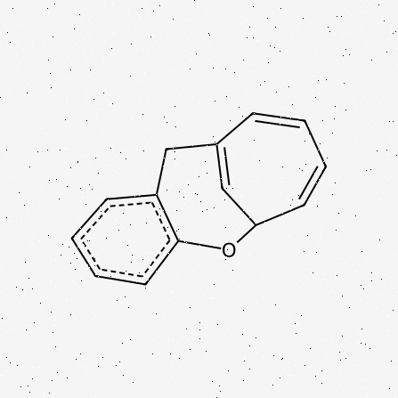 C1=CC2=CC(C=C1)Oc1ccccc1C2